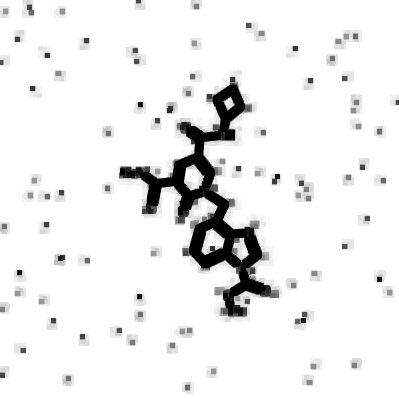 CNC(=O)c1cc(C(=O)NC2CCC2)cn(Cc2cccc3c2ncn3C(=O)OC(C)(C)C)c1=O